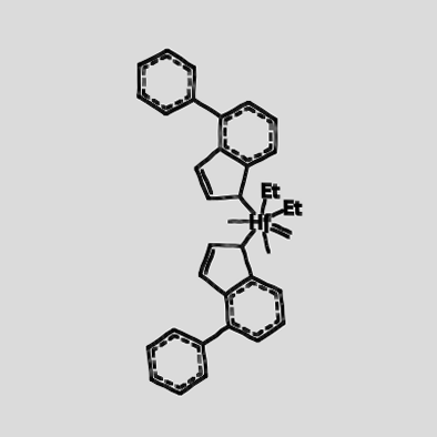 [CH2]=[Hf]([CH3])([CH3])([CH2]C)([CH2]C)([CH]1C=Cc2c(-c3ccccc3)cccc21)[CH]1C=Cc2c(-c3ccccc3)cccc21